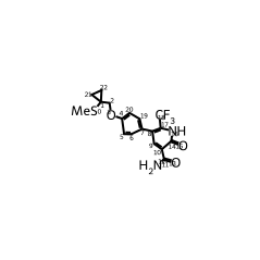 CSC1(COc2ccc(-c3cc(C(N)=O)c(=O)[nH]c3C(F)(F)F)cc2)CC1